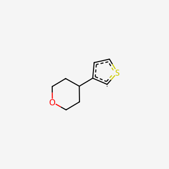 [c]1sccc1C1CCOCC1